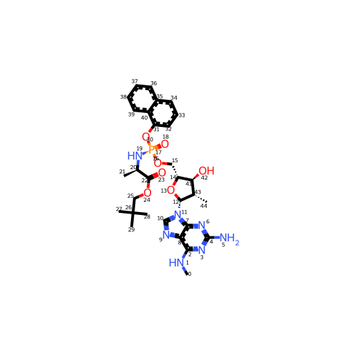 CNc1nc(N)nc2c1ncn2[C@@H]1O[C@H](CO[P@](=O)(N[C@H](C)C(=O)OCC(C)(C)C)Oc2cccc3ccccc23)[C@@H](O)[C@@H]1C